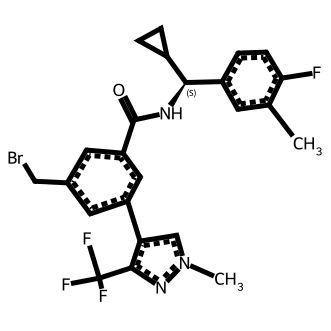 Cc1cc([C@@H](NC(=O)c2cc(CBr)cc(-c3cn(C)nc3C(F)(F)F)c2)C2CC2)ccc1F